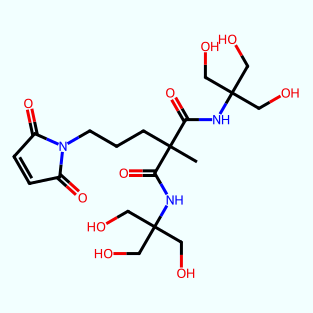 CC(CCCN1C(=O)C=CC1=O)(C(=O)NC(CO)(CO)CO)C(=O)NC(CO)(CO)CO